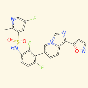 Cc1ncc(F)cc1S(=O)(=O)Nc1ccc(F)c(-c2ccc3c(-c4ccno4)ncn3c2)c1F